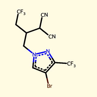 N#CC(C#N)C(Cn1cc(Br)c(C(F)(F)F)n1)CC(F)(F)F